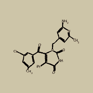 Cc1cc(Cl)cc(C(=O)c2c(C(C)C)c(=O)[nH]c(=O)n2Cc2cc(C)nc(N)c2)c1